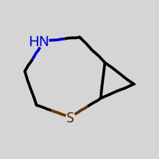 C1CSC2CC2CN1